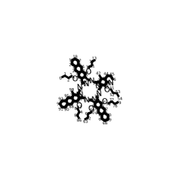 CCCCOc1c2c(c(OCCCC)c3cc4ccccc4cc13)-c1nc-2nc2[nH]c(nc3nc(nc4[nH]c(n1)c1c(C)c5cccnc5c(OCCCC)c41)-c1c-3c(OCCCC)c3cc4ccccc4cc3c1OCCCC)c1c(OCCCC)c3cc4ccccc4cc3c(C)c21